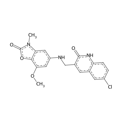 COc1cc(NCc2cc3cc(Cl)ccc3[nH]c2=O)cc2c1oc(=O)n2C